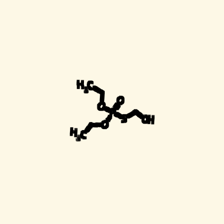 CCOP(=O)(OCC)SCO